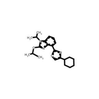 CC(C)Oc1nc2c(-c3nc(C4CCCCC4)cs3)cccc2n1C(C)C